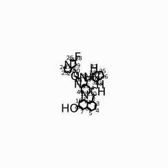 C#Cc1cccc2cc(O)cc(N3CCc4c(nc(OC[C@@]56CCCN5C[C@H](F)C6)nc4[C@H]4C[C@H]5CC[C@@H](C4)N5)C3)c12